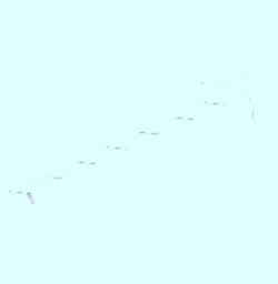 CCOP(=O)(CCCCCCCCCCCOC(C)=O)OCC